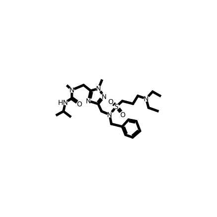 CCN(CC)CCCS(=O)(=O)N(Cc1ccccc1)Cc1nc(CN(C)C(=O)NC(C)C)n(C)n1